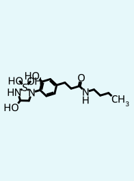 CCCCNC(=O)CCc1ccc(N2CC(O)NS2(O)O)c(O)c1